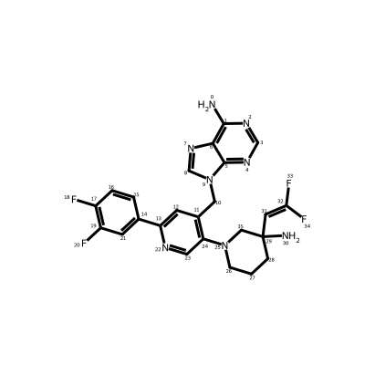 Nc1ncnc2c1ncn2Cc1cc(-c2ccc(F)c(F)c2)ncc1N1CCCC(N)(C=C(F)F)C1